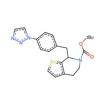 CC(C)(C)OC(=O)N1CCc2ccsc2C1Cc1ccc(-n2ccnn2)cc1